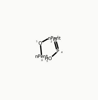 CCCCCOCCCCC.O=PO